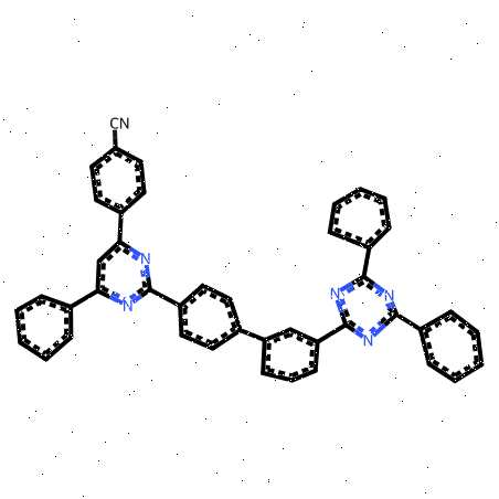 N#Cc1ccc(-c2cc(-c3ccccc3)nc(-c3ccc(-c4cccc(-c5nc(-c6ccccc6)nc(-c6ccccc6)n5)c4)cc3)n2)cc1